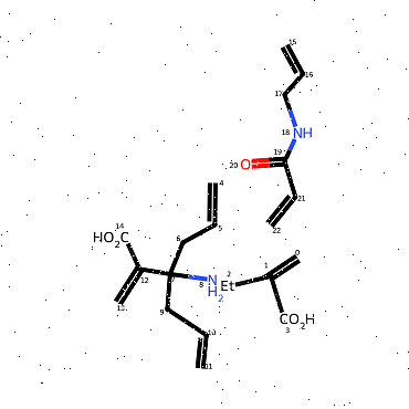 C=C(CC)C(=O)O.C=CCC(N)(CC=C)C(=C)C(=O)O.C=CCNC(=O)C=C